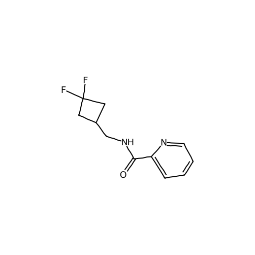 O=C(NCC1CC(F)(F)C1)c1ccccn1